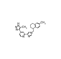 Cc1ccc2c(c1)CCCC2Cn1cnc(-c2cc(-c3nn[nH]c3C)ccn2)c1